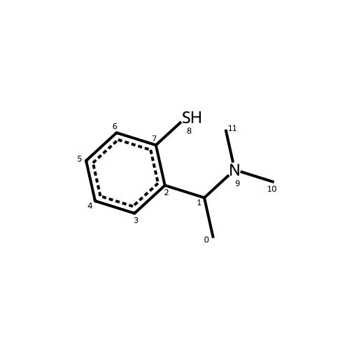 CC(c1ccccc1S)N(C)C